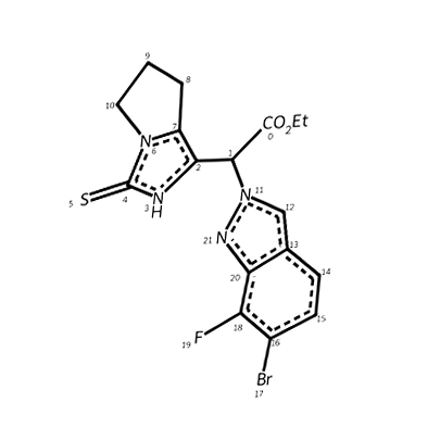 CCOC(=O)C(c1[nH]c(=S)n2c1CCC2)n1cc2ccc(Br)c(F)c2n1